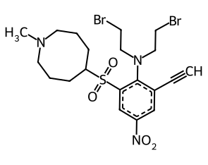 C#Cc1cc([N+](=O)[O-])cc(S(=O)(=O)C2CCCN(C)CCC2)c1N(CCBr)CCBr